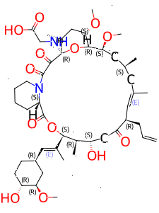 C=CC[C@@H]1/C=C(\C)C[C@H](C)C[C@H](OC)[C@H]2O[C@@](NCC(=O)O)(C(=O)C(=O)N3CCCC[C@H]3C(=O)O[C@H](/C(C)=C/[C@@H]3CC[C@@H](O)[C@H](OC)C3)[C@H](C)[C@@H](O)CC1=O)[C@H](C)C[C@@H]2OC